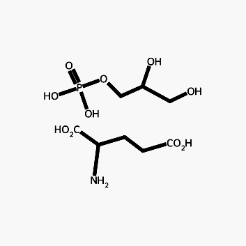 NC(CCC(=O)O)C(=O)O.O=P(O)(O)OCC(O)CO